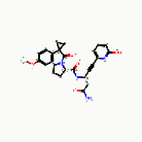 NC(=O)C[C@@H](C#Cc1cccc(O)n1)NC(=O)[C@@H]1CCCN1C(=O)C1(c2ccc(OC(F)(F)F)cc2)CC1